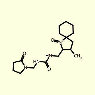 CC1CC2(CCCCC2)[N+](=O)C1CNC(=O)NCN1CCCC1=O